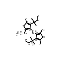 CCC(C)(C)C1=C(C)CC(C)=[C]1[Zr+2][C]1=C(C)CC(C)=C1C(C)(C)CC.[Cl-].[Cl-]